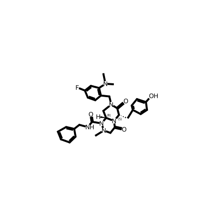 CN(C)c1cc(F)ccc1CN1C[C@@H]2N(C(=O)CN(C)N2C(=O)NCc2ccccc2)[C@@H](Cc2ccc(O)cc2)C1=O